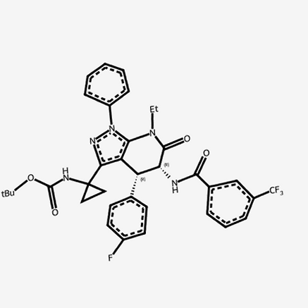 CCN1C(=O)[C@H](NC(=O)c2cccc(C(F)(F)F)c2)[C@H](c2ccc(F)cc2)c2c(C3(NC(=O)OC(C)(C)C)CC3)nn(-c3ccccc3)c21